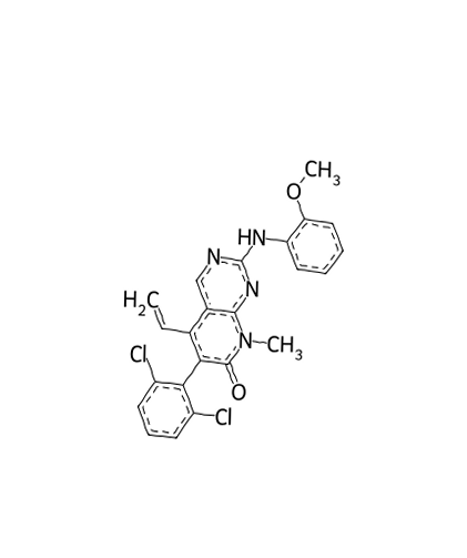 C=Cc1c(-c2c(Cl)cccc2Cl)c(=O)n(C)c2nc(Nc3ccccc3OC)ncc12